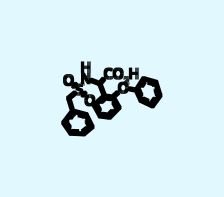 O=C(O)C(NS(=O)(=O)Cc1ccccc1)c1ccccc1Oc1ccccc1